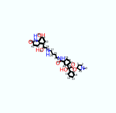 CN1CCC(OC(=O)[C@@](O)(c2ccccc2)c2cccc(C(=O)NCCCCNC[C@H](O)c3ccc(O)c4[nH]c(=O)ccc34)c2)C1